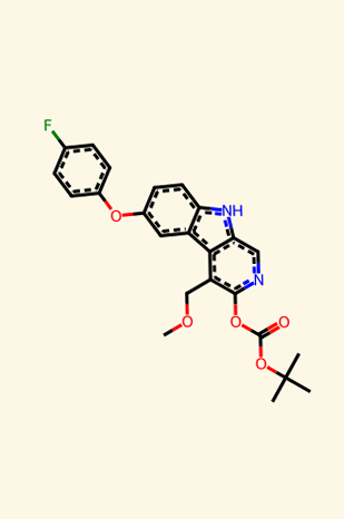 COCc1c(OC(=O)OC(C)(C)C)ncc2[nH]c3ccc(Oc4ccc(F)cc4)cc3c12